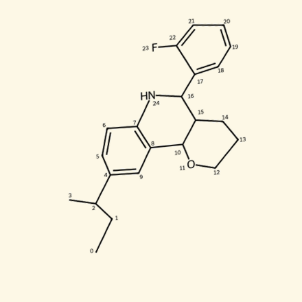 CCC(C)c1ccc2c(c1)C1OCCCC1C(c1ccccc1F)N2